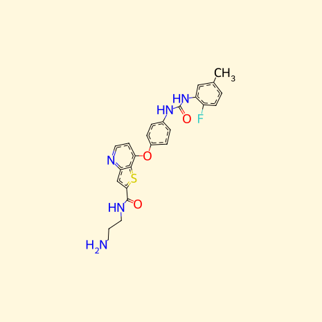 Cc1ccc(F)c(NC(=O)Nc2ccc(Oc3ccnc4cc(C(=O)NCCCN)sc34)cc2)c1